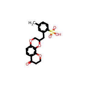 Cc1ccc(S(=O)(=O)O)c(CC2COc3ccc4c(c3O2)OCCC4=O)c1